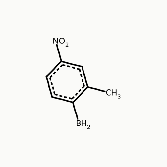 Bc1ccc([N+](=O)[O-])cc1C